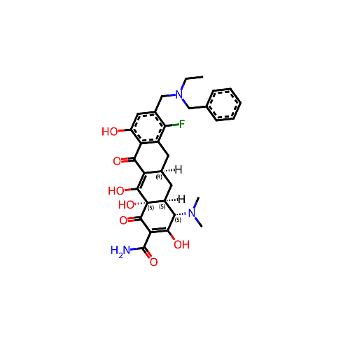 CCN(Cc1ccccc1)Cc1cc(O)c2c(c1F)C[C@H]1C[C@H]3[C@H](N(C)C)C(O)=C(C(N)=O)C(=O)[C@@]3(O)C(O)=C1C2=O